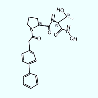 C[C@@H](O)[C@H](NC(=O)[C@@H]1CCCN1C(=O)Cc1ccc(-c2ccccc2)cc1)C(=O)NO